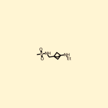 CCNC12CC(CNS(C)(=O)=O)(C1)C2